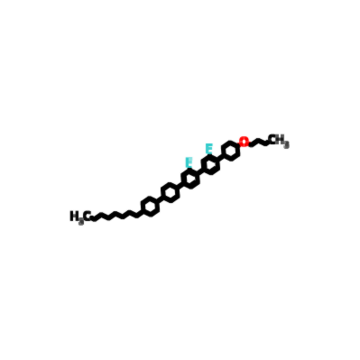 CCCCCCCCC1CCC(C2CCC(c3ccc(-c4ccc(C5CCC(OCCCC)CC5)c(F)c4)c(F)c3)CC2)CC1